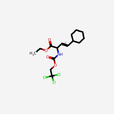 CCOC(=O)C(/C=C/C1CCCCC1)NC(=O)OCC(Cl)(Cl)Cl